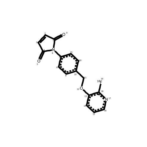 O=C1C=CC(=O)N1c1ccc(COc2cccnc2[18F])cc1